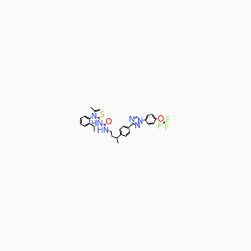 CCc1ccccc1N1C(C)=CSC1NC(=O)NCCC(C)c1ccc(-c2ncn(-c3ccc(OC(F)(F)F)cc3)n2)cc1